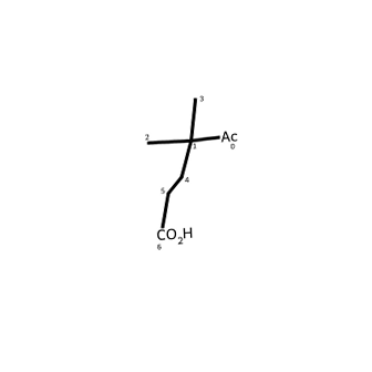 CC(=O)C(C)(C)CCC(=O)O